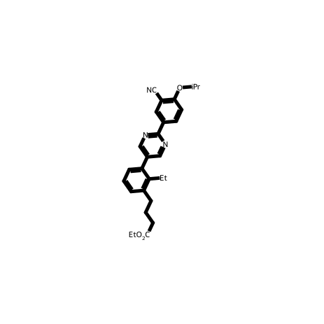 CCOC(=O)CCCc1cccc(-c2cnc(-c3ccc(OC(C)C)c(C#N)c3)nc2)c1CC